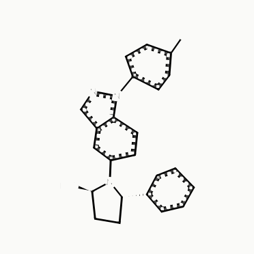 C[C@@H]1CC[C@@H](c2ccccc2)N1c1ccc2c(cnn2-c2ccc(F)cc2)c1